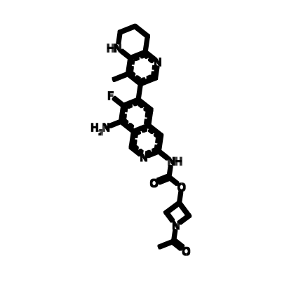 CC(=O)N1CC(OC(=O)Nc2cc3cc(-c4cnc5c(c4C)NCCC5)c(F)c(N)c3cn2)C1